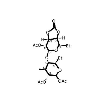 CC[C@H]1O[C@@H](O[C@H]2[C@H](C)[C@@H](OC(C)=O)C(OC(C)=O)O[C@@H]2CC)[C@H](OC(C)=O)[C@H]2OC(=O)O[C@H]21